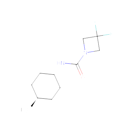 C[C@H]1CC[C@H](NC(=O)N2CC(F)(F)C2)CC1